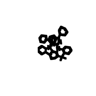 CC1(C)c2ccccc2N(c2nc(-c3ccccc3)nc(-c3ccccc3)n2)c2c1ccc1c2N(c2ccccc2)C2C=CC=CC12